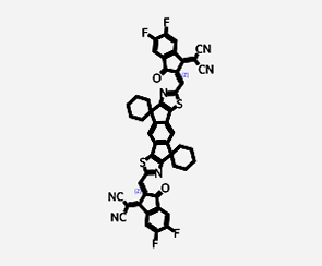 N#CC(C#N)=C1/C(=C/c2nc3c(s2)-c2cc4c(cc2C32CCCCC2)-c2sc(/C=C3\C(=O)c5cc(F)c(F)cc5C3=C(C#N)C#N)nc2C42CCCCC2)C(=O)c2cc(F)c(F)cc21